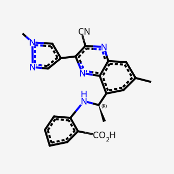 Cc1cc([C@@H](C)Nc2ccccc2C(=O)O)c2nc(-c3cnn(C)c3)c(C#N)nc2c1